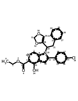 CCOC(=O)c1ncc2c(cc(-c3ccc(Cl)cc3)n2C(Cc2ccccc2)C2=COCO2)c1O